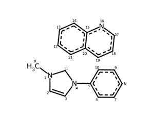 CN1C=CN(c2ccccc2)C1.c1ccc2ncccc2c1